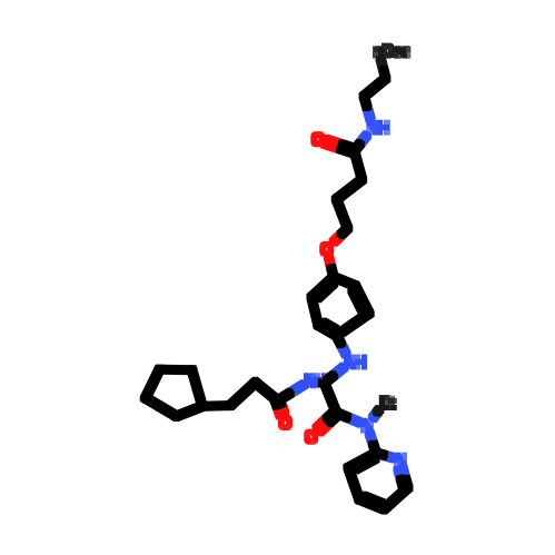 CCCCCCCCCCCCNC(=O)CCCOc1ccc(NC(NC(=O)CCC2CCCC2)C(=O)N(CC)c2ccccn2)cc1